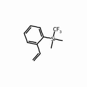 C=Cc1ccccc1[Si](C)(C)C(F)(F)F